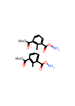 COC(=O)c1cccc(C(=O)ON)c1C.COC(=O)c1cccc(C(=O)ON)c1C